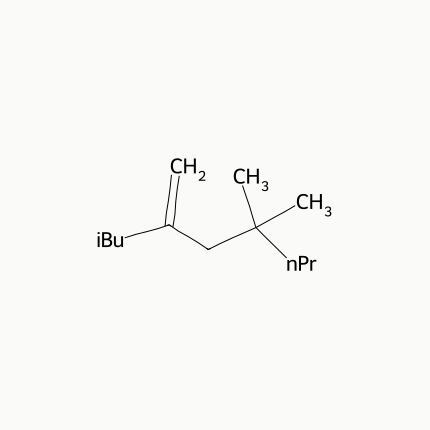 C=C(CC(C)(C)CCC)C(C)CC